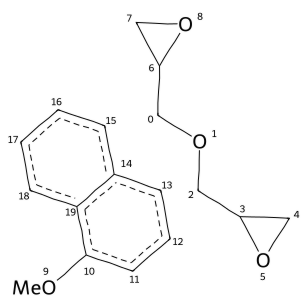 C(OCC1CO1)C1CO1.COc1cccc2ccccc12